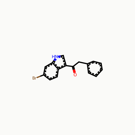 O=C(Cc1ccccc1)c1c[nH]c2cc(Br)ccc12